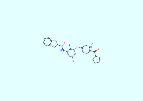 Cc1c(CN2CCN(C(=O)C3CCCC3)[C@@H](C)C2)cc(F)cc1NC(=O)C1Cc2ccccc2C1